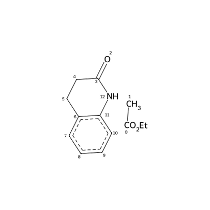 CCOC(C)=O.O=C1CCc2ccccc2N1